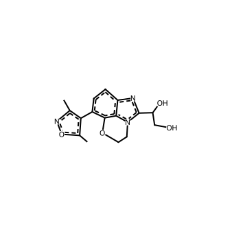 Cc1noc(C)c1-c1ccc2nc(C(O)CO)n3c2c1OCC3